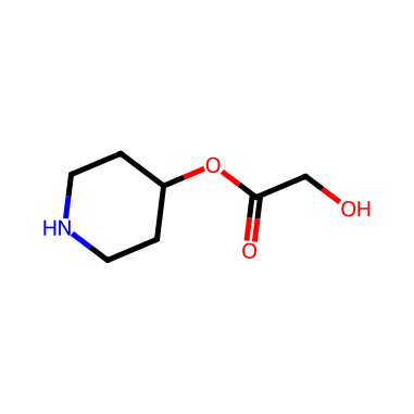 O=C(CO)OC1CCNCC1